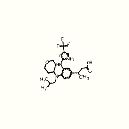 CC(C)CN(c1ccc(C(C)CC(=O)O)cc1Nc1nc(C(F)(F)F)c[nH]1)C1CCOCC1